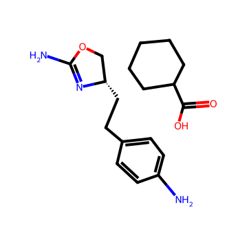 NC1=N[C@@H](CCc2ccc(N)cc2)CO1.O=C(O)C1CCCCC1